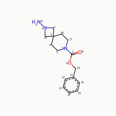 NN1CC2(CCN(C(=O)OCc3ccccc3)CC2)C1